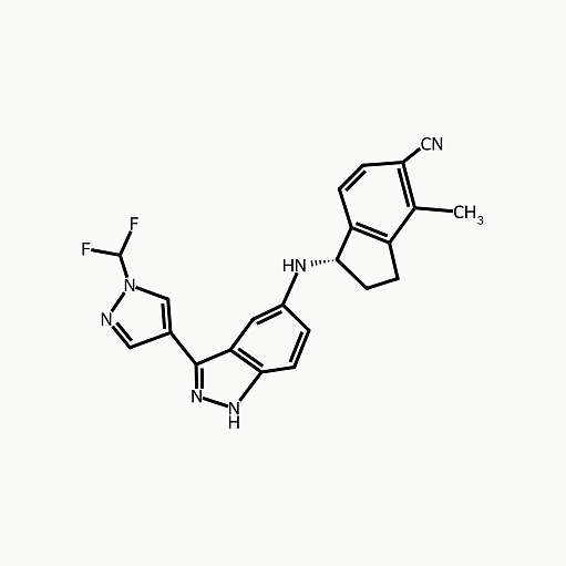 Cc1c(C#N)ccc2c1CC[C@@H]2Nc1ccc2[nH]nc(-c3cnn(C(F)F)c3)c2c1